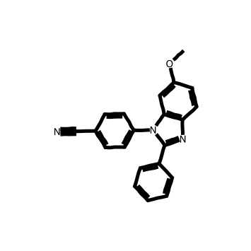 COc1ccc2nc(-c3ccccc3)n(-c3ccc(C#N)cc3)c2c1